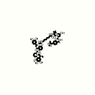 CC[C@H](C(=O)N1CCCC[C@H]1C(=O)O[C@H](CCc1ccc(OC)c(OC)c1)c1ccccc1OCC(=O)NCCCCCCC(=O)N[C@H](C(=O)N1C[C@@H](O)C[C@@H]1C(=O)N[C@@H](C)c1ccc(-c2scnc2C)cc1)C(C)(C)C)c1cc(OC)c(OC)c(OC)c1